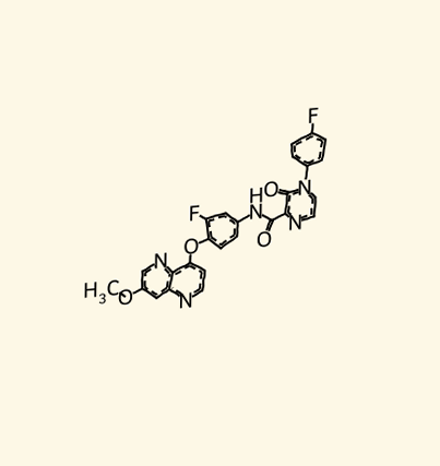 COc1cnc2c(Oc3ccc(NC(=O)c4nccn(-c5ccc(F)cc5)c4=O)cc3F)ccnc2c1